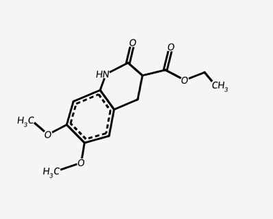 CCOC(=O)C1Cc2cc(OC)c(OC)cc2NC1=O